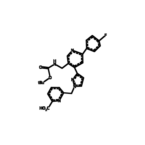 CC(C)(C)OC(=O)NCc1cnc(-c2ccc(F)cc2)cc1-c1ccn(Cc2cccc(C(=O)O)n2)n1